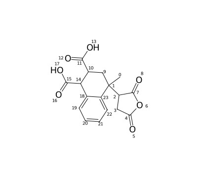 CC1(C2CC(=O)OC2=O)CC(C(=O)O)C(C(=O)O)c2ccccc21